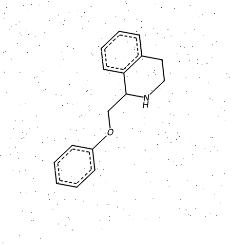 c1ccc(OCC2NCCc3ccccc32)cc1